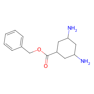 NC1CC(N)CC(C(=O)OCc2ccccc2)C1